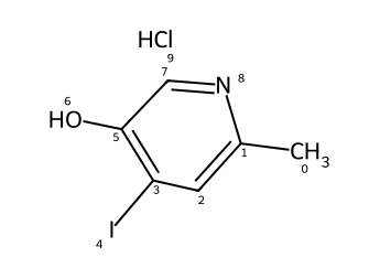 Cc1cc(I)c(O)cn1.Cl